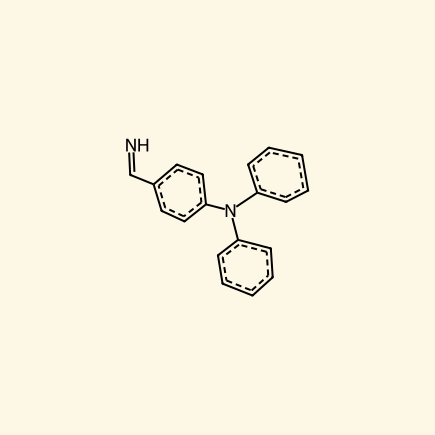 N=Cc1ccc(N(c2ccccc2)c2ccccc2)cc1